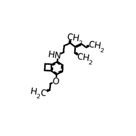 C=C/C=C(\C=C)C(=C)CCNc1ccc(OCC=C)c2c1CC2